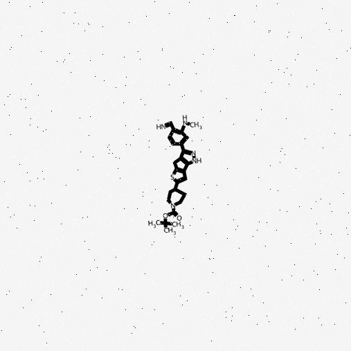 CNc1cc(-c2n[nH]c3c2Cc2sc(C4CCN(C(=O)OC(C)(C)C)CC4)cc2-3)ccc1C=N